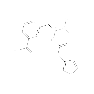 O=C(Cc1ccsc1)N[C@@H](Cc1cccc(C(=O)O)c1)B(O)O